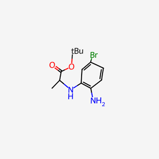 CC(Nc1cc(Br)ccc1N)C(=O)OC(C)(C)C